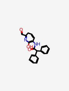 O=CC1=NC(O)=C(NC(=O)C(c2ccccc2)c2ccccc2)C=CC1